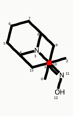 CC(C)N1C2CCCC1CC(=NO)C2